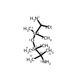 CCC(N)[Si](C)(C)O[Si](C)(C)C(C)(C)N